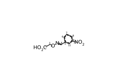 O=C(O)CON=Cc1cccc([N+](=O)[O-])c1